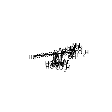 C#CCOCCOCCOCCOCCNC(=O)[C@@H](CCCNC(=O)OCCO[C@@H]([C@@H]1OC(C(=O)O)=C[C@H](NC(=N)N)[C@H]1NC(C)=O)[C@H](O)CO)NC(=O)OCCO[C@@H]([C@@H]1OC(C(=O)O)=C[C@H](NC(=N)N)[C@H]1NC(C)=O)[C@H](O)CO